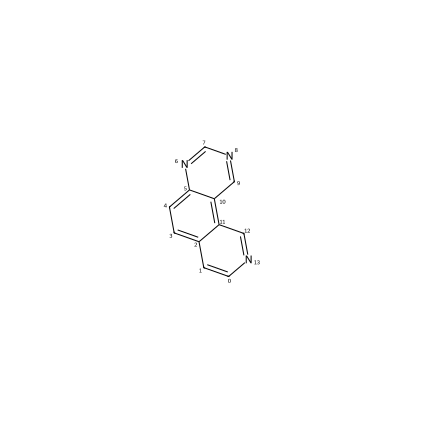 c1cc2ccc3ncncc3c2cn1